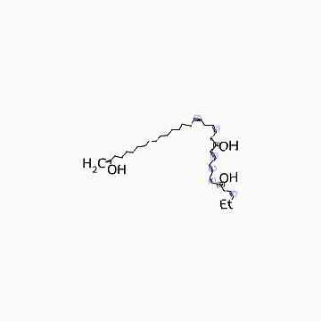 C=C(O)CCCCCCCCCCCCCC/C=C\C/C=C\C[C@@H](O)/C=C/C=C/C=C\[C@@H](O)C/C=C\CC